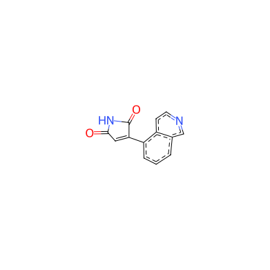 O=C1C=C(c2cccc3cnccc23)C(=O)N1